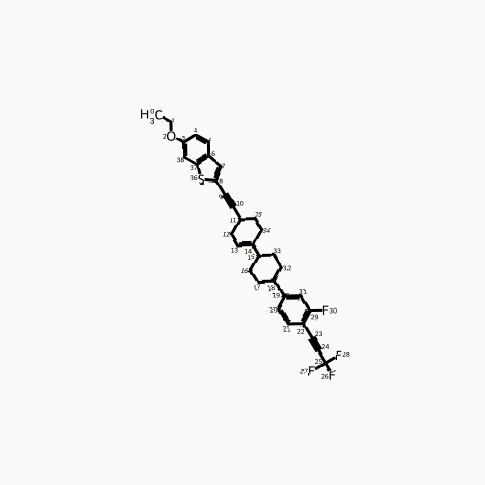 CCOc1ccc2cc(C#CC3CC=C(C4CCC(c5ccc(C#CC(F)(F)F)c(F)c5)CC4)CC3)sc2c1